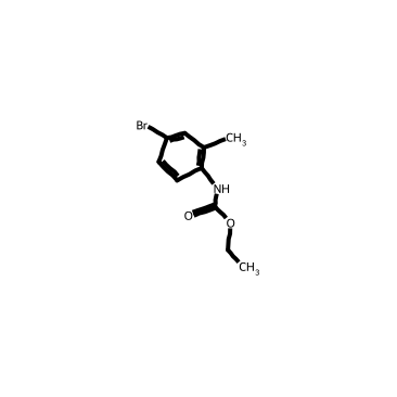 CCOC(=O)Nc1ccc(Br)cc1C